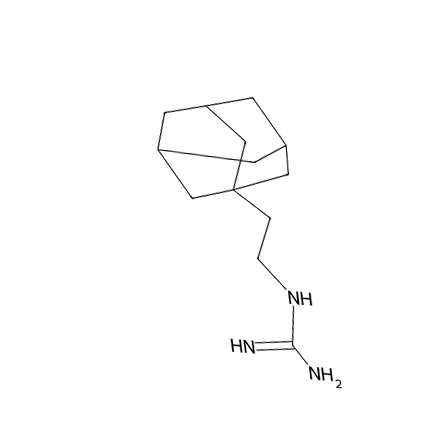 N=C(N)NCCC12CC3CC(CC(C3)C1)C2